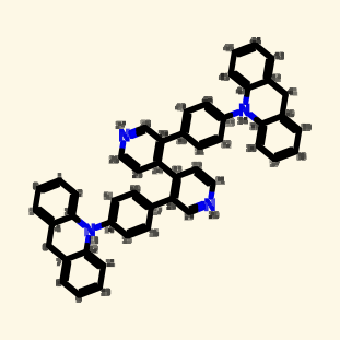 c1ccc2c(c1)Cc1ccccc1N2c1ccc(-c2cnccc2-c2ccncc2-c2ccc(N3c4ccccc4Cc4ccccc43)cc2)cc1